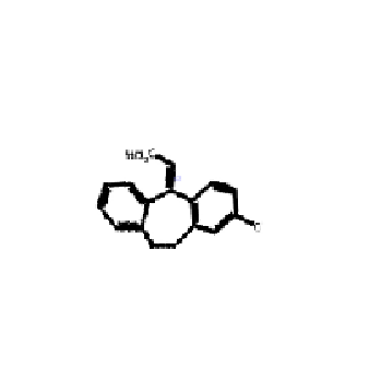 O=C(O)/C=C1\c2ccccc2CCc2cc(Cl)ccc21